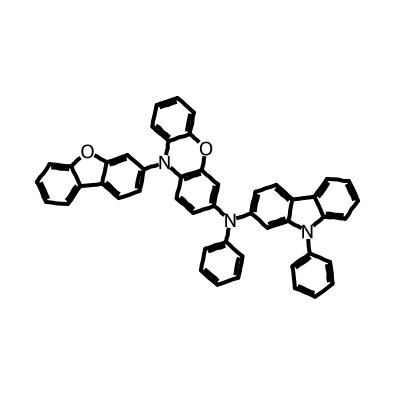 c1ccc(N(c2ccc3c(c2)Oc2ccccc2N3c2ccc3c(c2)oc2ccccc23)c2ccc3c4ccccc4n(-c4ccccc4)c3c2)cc1